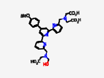 COc1ccc(-c2cc(-c3cccc(CN(CO)CC(=O)O)n3)nc(-c3cccc(CN(CC(=O)O)CC(=O)O)n3)c2)cc1